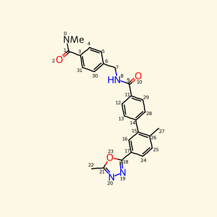 CNC(=O)c1ccc(CNC(=O)c2ccc(-c3cc(-c4nnc(C)o4)ccc3C)cc2)cc1